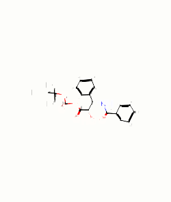 CC(C)(C)OC(=O)OC(=O)[C@H](O)[C@@H](NC(=O)c1ccccc1)c1ccccc1